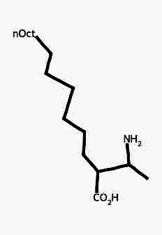 CCCCCCCCCCCCCCC(C(=O)O)C(C)N